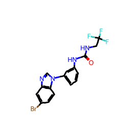 O=C(NCC(F)(F)F)Nc1cccc(-n2cnc3cc(Br)ccc32)c1